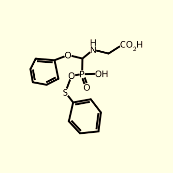 O=C(O)CNC(Oc1ccccc1)P(=O)(O)OSc1ccccc1